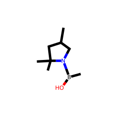 CB(O)N1CC(C)CC1(C)C